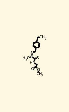 C=Cc1ccc(C=NN(C)C(=S)NCC(=O)OC)cc1